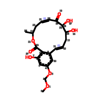 COCOc1cc(O)c2c(c1)/C=C/CC(O)[C@H](O)C(=O)/C=C\CC(C)OC2=O